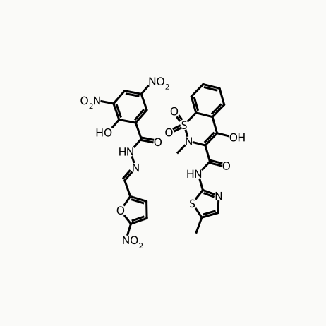 Cc1cnc(NC(=O)C2=C(O)c3ccccc3S(=O)(=O)N2C)s1.O=C(N/N=C/c1ccc([N+](=O)[O-])o1)c1cc([N+](=O)[O-])cc([N+](=O)[O-])c1O